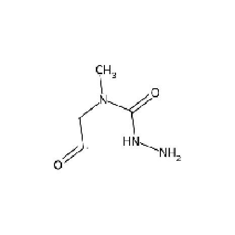 CN(C[C]=O)C(=O)NN